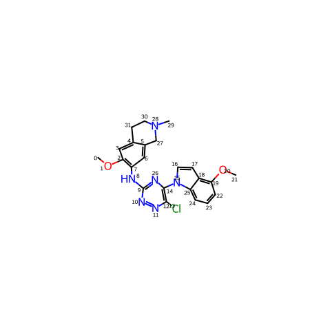 COc1cc2c(cc1Nc1nnc(Cl)c(-n3ccc4c(OC)cccc43)n1)CN(C)CC2